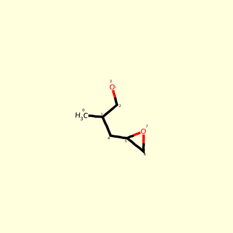 CC(C[O])CC1CO1